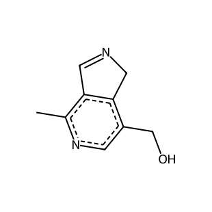 Cc1ncc(CO)c2c1C=NC2